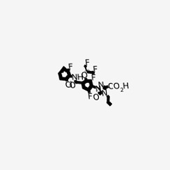 C=CCn1c(C(=O)O)nn(-c2cc(O[C@@H](CF)C(F)F)c(C(=O)Nc3c(F)cccc3Cl)cc2F)c1=O